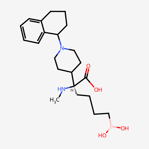 CN[C@](CCCCB(O)O)(C(=O)O)C1CCN(C2CCCc3ccccc32)CC1